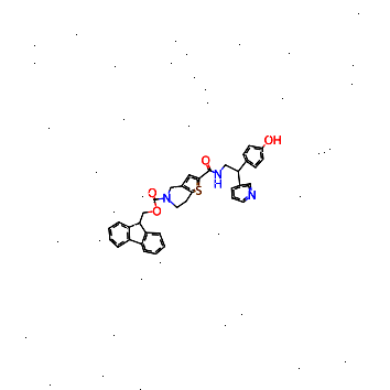 O=C(NCC(c1ccc(O)cc1)c1cccnc1)c1cc2c(s1)CCN(C(=O)OCC1c3ccccc3-c3ccccc31)C2